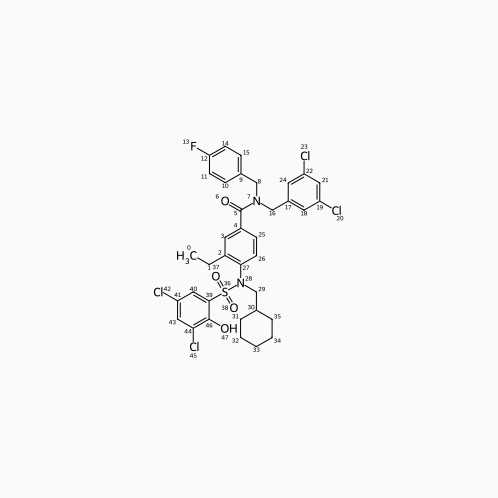 CCc1cc(C(=O)N(Cc2ccc(F)cc2)Cc2cc(Cl)cc(Cl)c2)ccc1N(CC1CCCCC1)S(=O)(=O)c1cc(Cl)cc(Cl)c1O